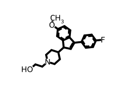 COc1ccc2c(c1)C(C1CCN(CCO)CC1)C=C2c1ccc(F)cc1